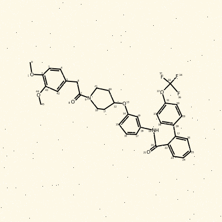 COc1ccc(CC(=O)N2CCC(Oc3cccc(NC(=O)c4ccccc4-c4ccc(OC(F)(F)F)cc4)c3)CC2)cc1OC